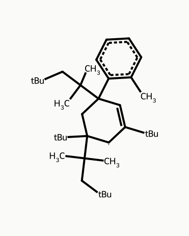 Cc1ccccc1C1(C(C)(C)CC(C)(C)C)C=C(C(C)(C)C)[CH]C(C(C)(C)C)(C(C)(C)CC(C)(C)C)C1